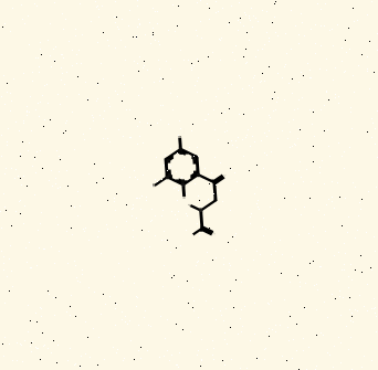 O=C1CC(C(=O)O)Oc2c(Cl)cc(Cl)cc21